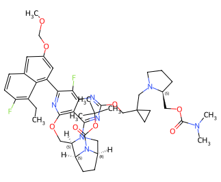 CCc1c(F)ccc2cc(OCOC)cc(-c3nc4c5c(nc(OCC6(CN7CCC[C@H]7COC(=O)N(C)C)CC6)nc5c3F)N3C[C@H]5CC[C@@H]([C@H]3CO4)N5C(=O)OC(C)(C)C)c12